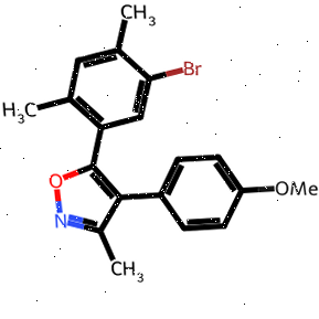 COc1ccc(-c2c(C)noc2-c2cc(Br)c(C)cc2C)cc1